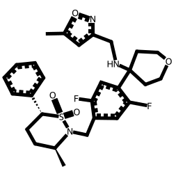 Cc1cc(CNC2(c3cc(F)c(CN4[C@@H](C)CC[C@H](c5ccccc5)S4(=O)=O)cc3F)CCOCC2)no1